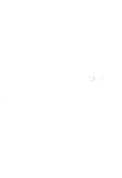 CC(=O)NCCc1ccc(Cl)c(C=O)c1